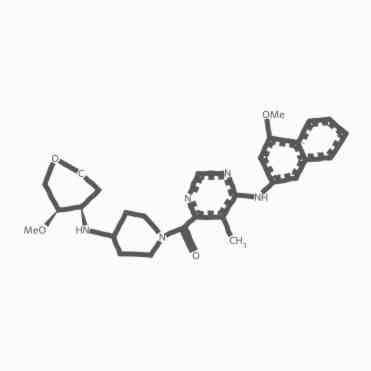 COc1cc(Nc2ncnc(C(=O)N3CCC(N[C@@H]4CCOC[C@@H]4OC)CC3)c2C)cc2ccccc12